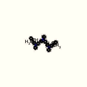 CC(C)(c1ccccc1)c1ccc2c(c1)c1cc(-c3ccc4c(c3)c3cc(-c5ccc6c(c5)c5cc(C(C)(C)c7ccccc7)ccc5n6-c5ccccc5)ccc3n4-c3ccccc3)ccc1n2-c1ccccc1